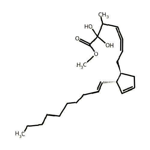 CCCCCCCCC=C[C@H]1C=CC[C@@H]1CC=C=CC(C)C(O)(O)C(=O)OC